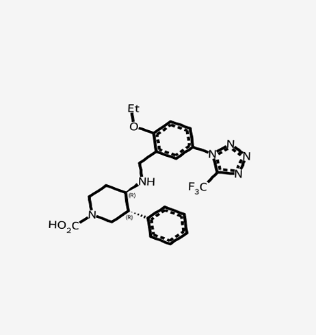 CCOc1ccc(-n2nnnc2C(F)(F)F)cc1CN[C@@H]1CCN(C(=O)O)C[C@H]1c1ccccc1